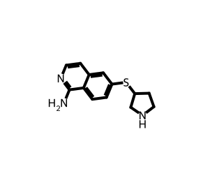 Nc1nccc2cc(SC3CCNC3)ccc12